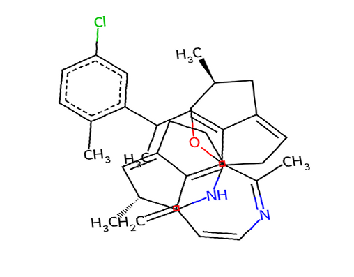 C=C1C=CN=C(C)C(C(=C\C(C)c2cc(Cl)ccc2C)/C2=C\CCOC[C@@H](C)C2)=C1/C1=C\[C@@H](C)CNCCC1